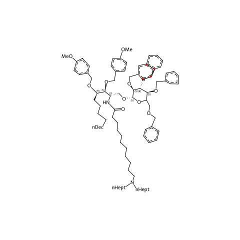 CCCCCCCCCCCCCC[C@@H](OCc1ccc(OC)cc1)[C@@H](OCc1ccc(OC)cc1)[C@H](CO[C@H]1OC(COCc2ccccc2)[C@H](OCc2ccccc2)[C@@H](OCc2ccccc2)[C@@H]1OCc1ccccc1)NC(=O)CCCCCCCCCCN(CCCCCCC)CCCCCCC